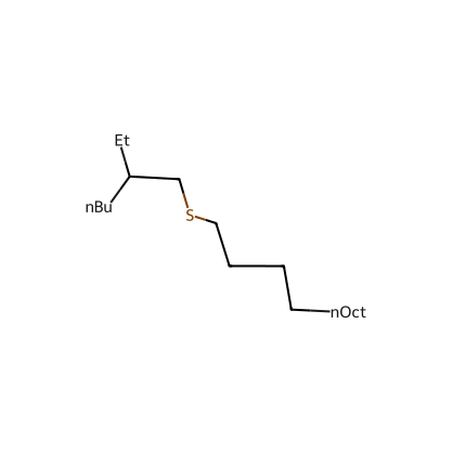 CCCCCCCCCCCCSCC(CC)CCCC